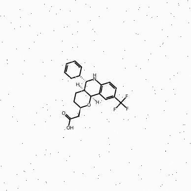 O=C(O)C[C@H]1CC[C@@H]2[C@H](O1)c1cc(C(F)(F)F)ccc1N[C@H]2C1C=CC=CC1